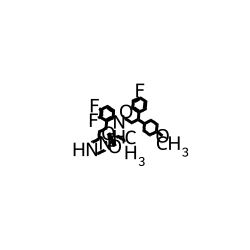 CCCS(=O)(=O)N1CCNCC1CCc1c(NC(=O)CC(c2ccc(F)cc2)C2CCC(OC)CC2)ccc(F)c1F